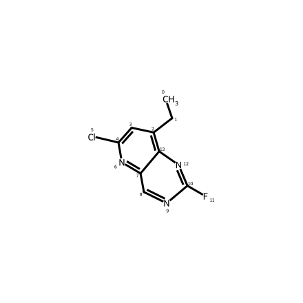 CCc1cc(Cl)nc2cnc(F)nc12